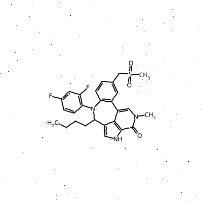 [CH2][CH]CCC1c2c[nH]c3c(=O)n(C)cc(c23)-c2cc(CS(C)(=O)=O)ccc2N1c1ccc(F)cc1F